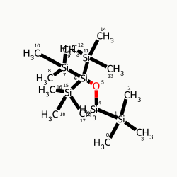 C[Si](C)(C)[SiH2]O[Si]([Si](C)(C)C)([Si](C)(C)C)[Si](C)(C)C